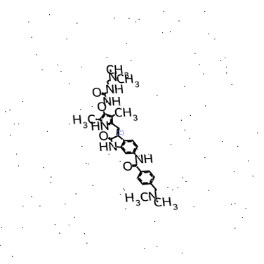 Cc1[nH]c(/C=C2\C(=O)Nc3cc(NC(=O)c4ccc(CN(C)C)cc4)ccc32)c(C)c1ONC(=O)NCN(C)C